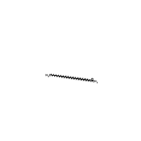 CCCCCCCCCCCCCCCCCCCCCCCCCCCCCCCCCCOC(C)=O